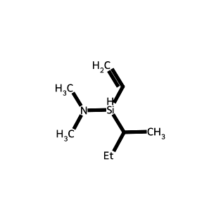 C=C[SiH](C(C)CC)N(C)C